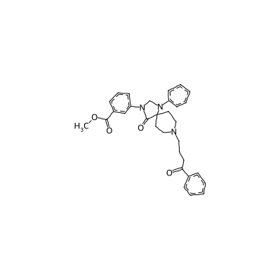 COC(=O)c1cccc(N2CN(c3ccccc3)C3(CCN(CCCC(=O)c4ccccc4)CC3)C2=O)c1